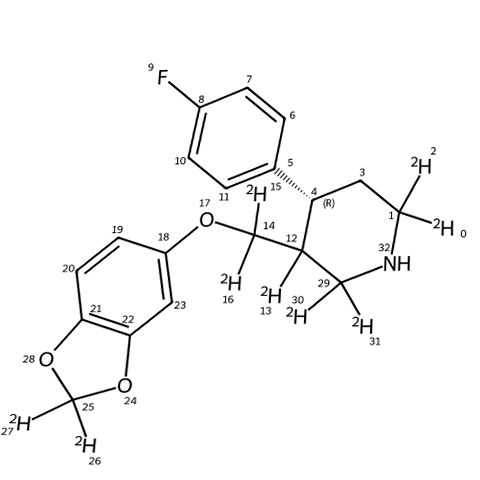 [2H]C1([2H])C[C@@H](c2ccc(F)cc2)C([2H])(C([2H])([2H])Oc2ccc3c(c2)OC([2H])([2H])O3)C([2H])([2H])N1